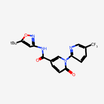 CC(C)(C)c1cc(NC(=O)c2ccc(=O)n(-c3ccc(C(F)(F)F)cn3)c2)no1